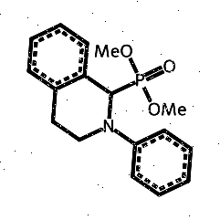 COP(=O)(OC)C1c2ccccc2CCN1c1ccccc1